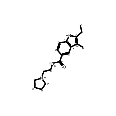 CCc1[nH]c2ccc(C(=O)NCCN3CCCC3)cc2c1C